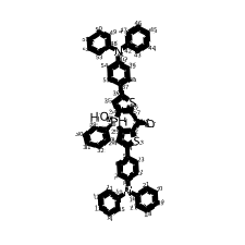 O=C1c2sc(-c3ccc(N(c4ccccc4)c4ccccc4)cc3)cc2[PH](O)(c2ccccc2)c2cc(-c3ccc(N(c4ccccc4)c4ccccc4)cc3)sc21